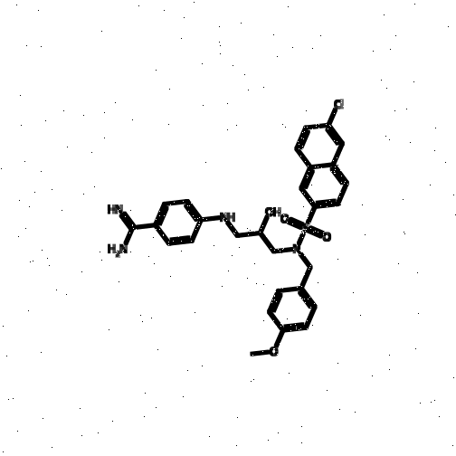 COc1ccc(CN(CC(O)CNc2ccc(C(=N)N)cc2)S(=O)(=O)c2ccc3cc(Cl)ccc3c2)cc1